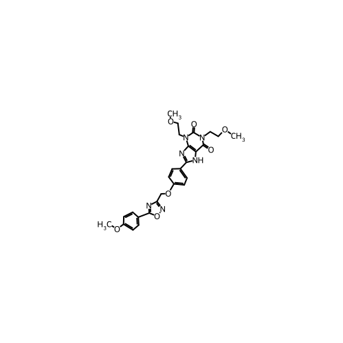 COCCn1c(=O)c2[nH]c(-c3ccc(OCc4noc(-c5ccc(OC)cc5)n4)cc3)nc2n(CCOC)c1=O